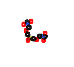 O=C1C=CC(=O)N1c1cccc(Oc2ccc([S+]([O-])c3ccc(Oc4cccc(N5C(=O)C=CC5=O)c4)cc3)cc2)c1